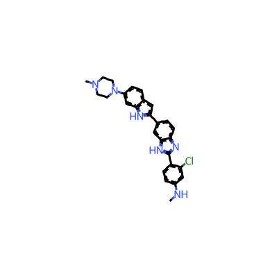 CNc1ccc(-c2nc3ccc(-c4cc5ccc(N6CCN(C)CC6)cc5[nH]4)cc3[nH]2)c(Cl)c1